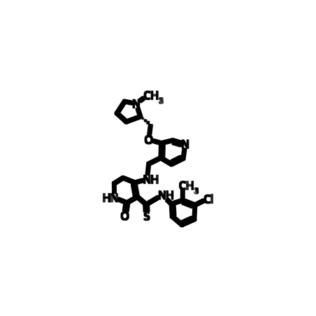 Cc1c(Cl)cccc1NC(=S)C1=C(NCc2ccncc2OC[C@@H]2CCCN2C)CCNC1=O